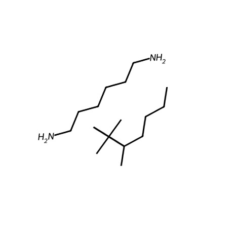 CCCCC(C)C(C)(C)C.NCCCCCCN